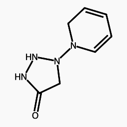 O=C1CN(N2C=CC=CC2)NN1